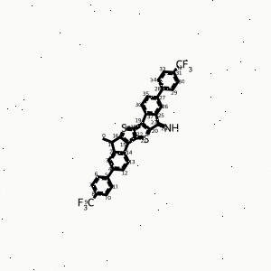 CC1c2cc(-c3ccc(C(F)(F)F)cc3)ccc2-c2c1sc1c3c(sc21)C(=N)c1cc(-c2ccc(C(F)(F)F)cc2)ccc1-3